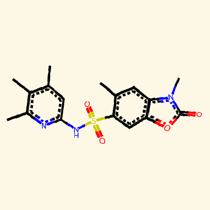 Cc1cc2c(cc1S(=O)(=O)Nc1cc(C)c(C)c(C)n1)oc(=O)n2C